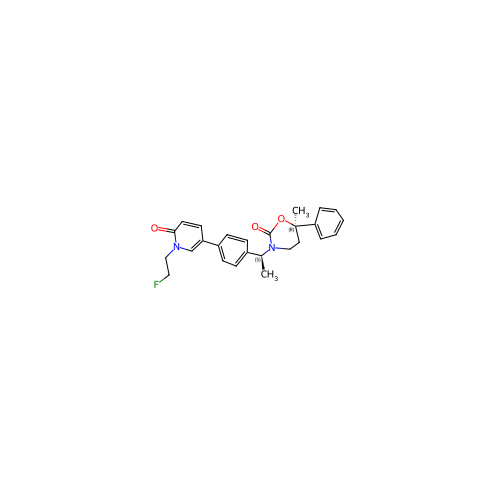 C[C@@H](c1ccc(-c2ccc(=O)n(CCF)c2)cc1)N1CC[C@](C)(c2ccccc2)OC1=O